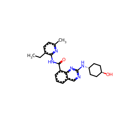 CCc1ccc(C)nc1NC(=O)c1cccc2cnc(N[C@H]3CC[C@H](O)CC3)nc12